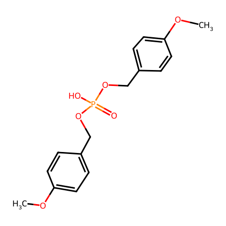 COc1ccc(COP(=O)(O)OCc2ccc(OC)cc2)cc1